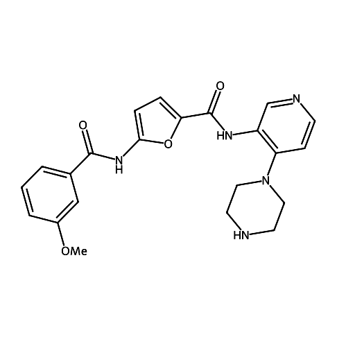 COc1cccc(C(=O)Nc2ccc(C(=O)Nc3cnccc3N3CCNCC3)o2)c1